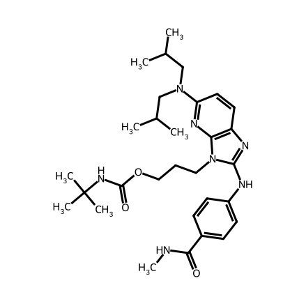 CNC(=O)c1ccc(Nc2nc3ccc(N(CC(C)C)CC(C)C)nc3n2CCCOC(=O)NC(C)(C)C)cc1